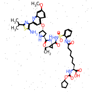 C=C[C@@H]1C[C@]1(NC(=O)[C@@H]1C[C@@H](Oc2cc(-c3nc(C(C)C)sc3N)nc3cc(OC)ccc23)CN1)C(=O)NS(=O)(=O)c1ccccc1NC(=O)CCCCCC[C@H](NC(=O)OC1CCCC1)C(=O)O